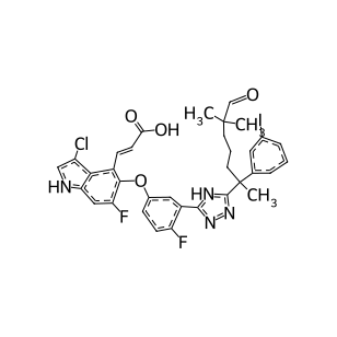 CC(C)(C=O)CCCC(C)(c1cccc(I)c1)c1nnc(-c2cc(Oc3c(F)cc4[nH]cc(Cl)c4c3/C=C/C(=O)O)ccc2F)[nH]1